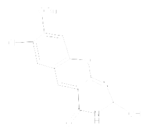 CC(C)COc1cc2c(cc1Cl)C=C1C(=O)NC(O)N=C1O2